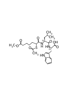 COC(=O)CCCCC(SC(C)=O)C(=O)N[C@@H](CC(C)C)C(=O)N[C@@H](Cc1c[nH]c2ccccc12)C(=O)O